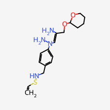 C=CSNCc1ccc(N(N)/C=C(\N)COC2CCCCO2)cc1